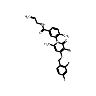 C=CCNC(=O)c1ccc(C)c(-n2c(C)cc(OCc3ccc(F)cc3F)c(Br)c2=O)c1